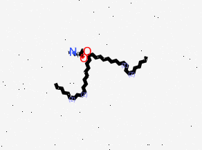 CCCCC/C=C\C/C=C\CCCCCCCCC1(CCCCCCCC/C=C\C/C=C\CCCCC)OC[C@@H](CN(C)C)O1